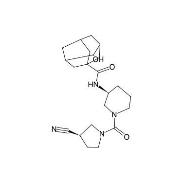 N#C[C@@H]1CCN(C(=O)N2CCC[C@H](NC(=O)C34CC5CC(C3)C(O)C(C5)C4)C2)C1